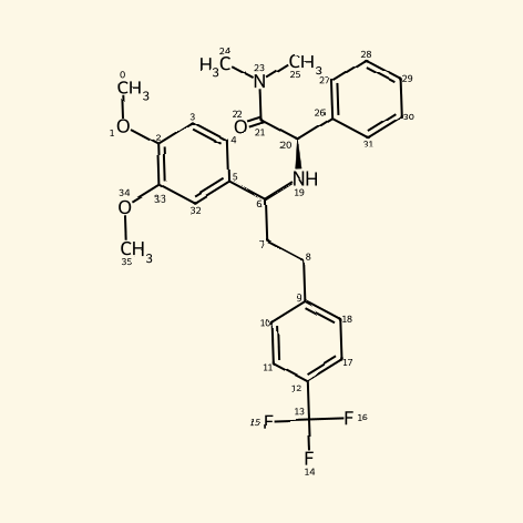 COc1ccc(C(CCc2ccc(C(F)(F)F)cc2)N[C@@H](C(=O)N(C)C)c2ccccc2)cc1OC